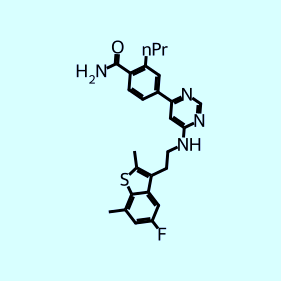 CCCc1cc(-c2cc(NCCc3c(C)sc4c(C)cc(F)cc34)ncn2)ccc1C(N)=O